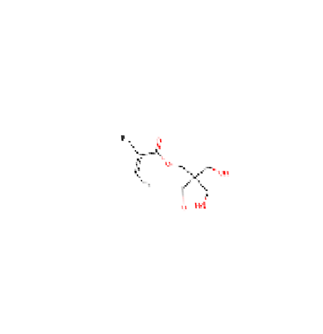 CCC=C(CC)C(=O)OCC(CO)(CO)CO